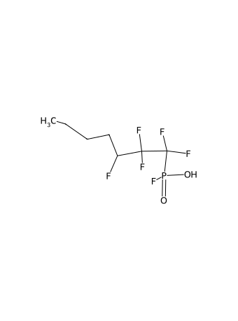 CCCCC(F)C(F)(F)C(F)(F)P(=O)(O)F